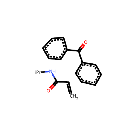 C=CC(=O)NC(C)C.O=C(c1ccccc1)c1ccccc1